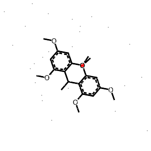 COc1cc(OC)c(C(C)c2c(OC)cc(OC)cc2OC)c(OC)c1